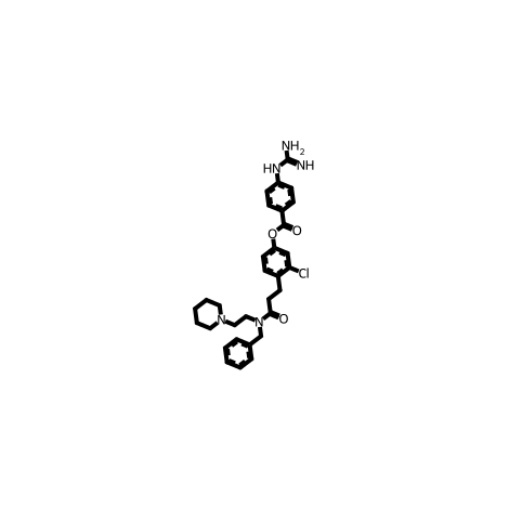 N=C(N)Nc1ccc(C(=O)Oc2ccc(CCC(=O)N(CCN3CCCCC3)Cc3ccccc3)c(Cl)c2)cc1